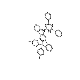 Cc1ccc(C2(c3ccc(C)cc3)c3ccccc3-c3cc4c(cc32)c2ccccc2n4-c2nc(-c3ccccc3)nc(-c3ccccc3)n2)cc1